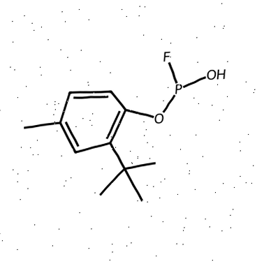 Cc1ccc(OP(O)F)c(C(C)(C)C)c1